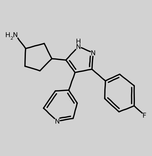 NC1CCC(c2[nH]nc(-c3ccc(F)cc3)c2-c2ccncc2)C1